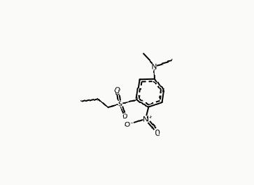 CCCS(=O)(=O)c1cc(N(C)C)ccc1[N+](=O)[O-]